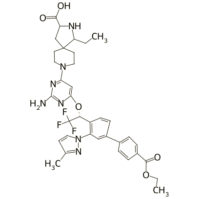 CCOC(=O)c1ccc(-c2ccc([C@@H](Oc3cc(N4CCC5(CC4)CC(C(=O)O)NC5CC)nc(N)n3)C(F)(F)F)c(-n3ccc(C)n3)c2)cc1